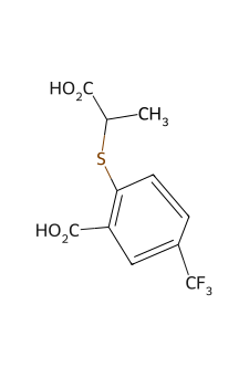 CC(Sc1ccc(C(F)(F)F)cc1C(=O)O)C(=O)O